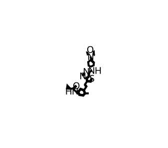 Cc1ccc(NC(=O)C2CC2)cc1/C=C/c1csc2c(NC3CC=C(N4CCOCC4)CC3)ncnc12